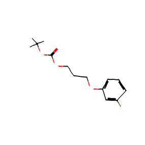 CC(C)(C)OC(=O)OCCCOc1cccc(Br)c1